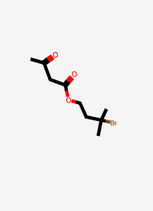 CC(=O)CC(=O)OCCC(C)(C)Br